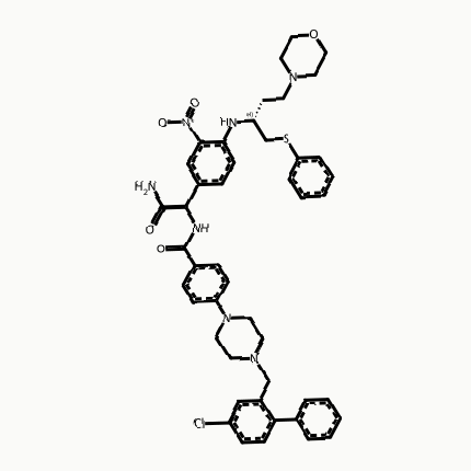 NC(=O)C(NC(=O)c1ccc(N2CCN(Cc3cc(Cl)ccc3-c3ccccc3)CC2)cc1)c1ccc(N[C@H](CCN2CCOCC2)CSc2ccccc2)c([N+](=O)[O-])c1